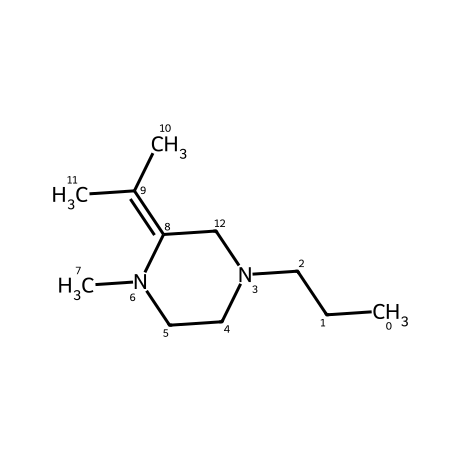 CCCN1CCN(C)C(=C(C)C)C1